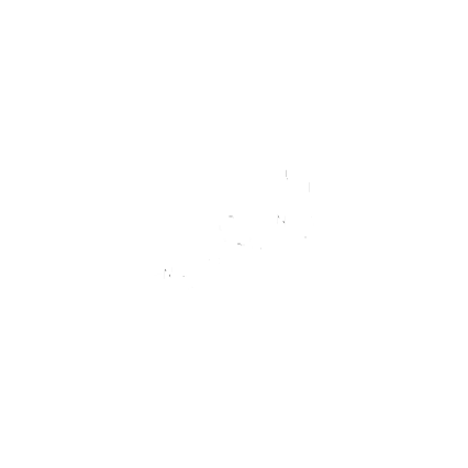 CNC(=O)COc1ccc(CC(C)[N+]2(C)C(C(C)OC)=CSC2C(F)(F)F)cc1